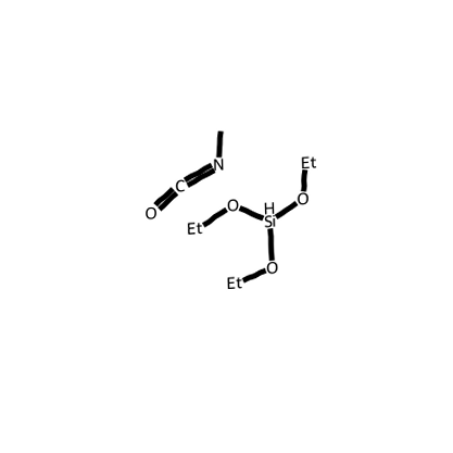 CCO[SiH](OCC)OCC.CN=C=O